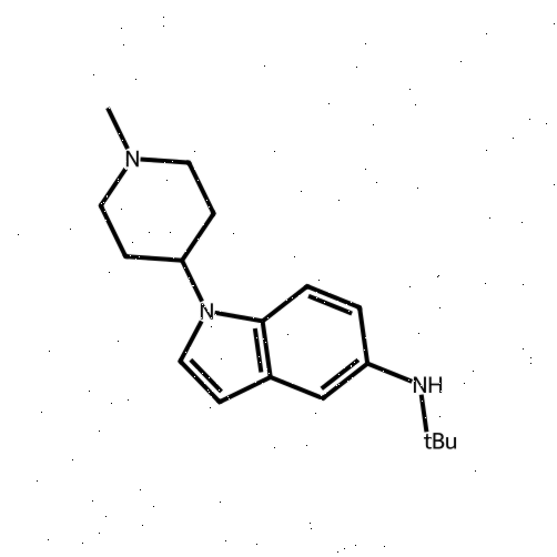 CN1CCC(n2ccc3cc(NC(C)(C)C)ccc32)CC1